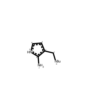 CCCCCc1cc[nH]c1N